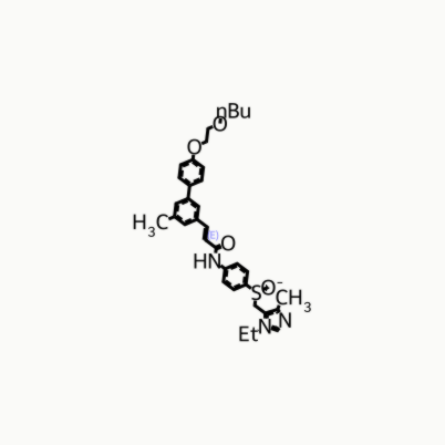 CCCCOCCOc1ccc(-c2cc(C)cc(/C=C/C(=O)Nc3ccc([S+]([O-])Cc4c(C)ncn4CC)cc3)c2)cc1